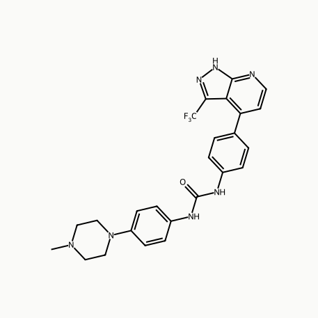 CN1CCN(c2ccc(NC(=O)Nc3ccc(-c4ccnc5[nH]nc(C(F)(F)F)c45)cc3)cc2)CC1